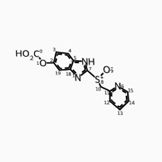 O=C(O)Oc1ccc2[nH]c([S+]([O-])Cc3ccccn3)nc2c1